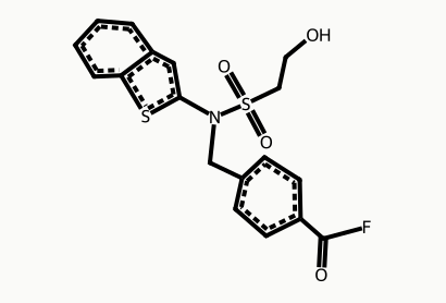 O=C(F)c1ccc(CN(c2cc3ccccc3s2)S(=O)(=O)CCO)cc1